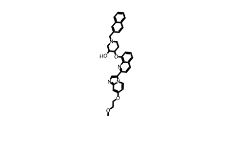 COCCOc1ccn2c(-c3ccc4cccc(OC5CCN(Cc6ccc7ccccc7c6)CC5O)c4n3)cnc2c1